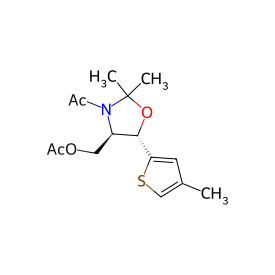 CC(=O)OC[C@@H]1[C@@H](c2cc(C)cs2)OC(C)(C)N1C(C)=O